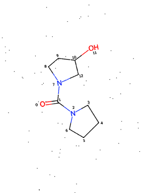 O=C(N1CCCC1)N1CCC(O)C1